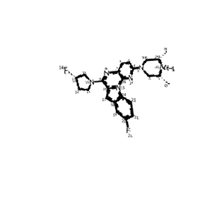 C[C@@H]1CN(c2ccc3nc(N4CC[C@H](F)C4)c4cc5cc(F)ccc5n4c3n2)C[C@H](C)N1